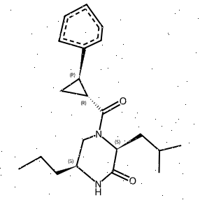 CCC[C@H]1CN(C(=O)[C@@H]2C[C@H]2c2ccccc2)[C@@H](CC(C)C)C(=O)N1